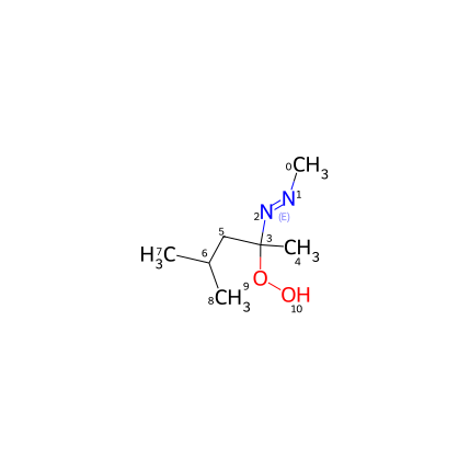 C/N=N/C(C)(CC(C)C)OO